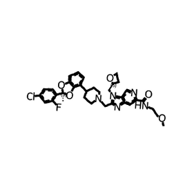 COCCNC(=O)c1cc2nc(CN3CCC(c4cccc5c4O[C@@](C)(c4ccc(Cl)cc4F)O5)CC3)n(C[C@@H]3CCO3)c2cn1